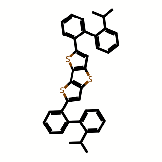 CC(C)c1ccccc1-c1ccccc1-c1cc2sc3cc(-c4ccccc4-c4ccccc4C(C)C)sc3c2s1